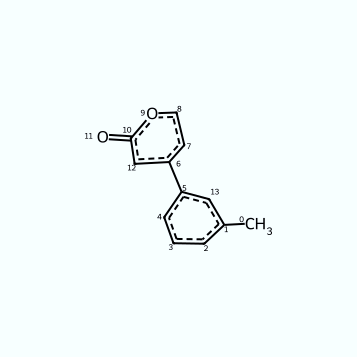 Cc1cccc(-c2ccoc(=O)c2)c1